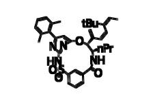 C=C(/C=C\C(=C/C)C(C)(C)C)[C@@H]1Oc2cc(-c3c(C)cccc3C)nc(n2)NS(=O)(=O)c2cccc(c2)C(=O)N[C@@H]1CCC